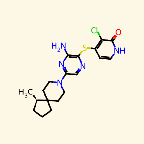 C[C@@H]1CCCC12CCN(c1cnc(Sc3cc[nH]c(=O)c3Cl)c(N)n1)CC2